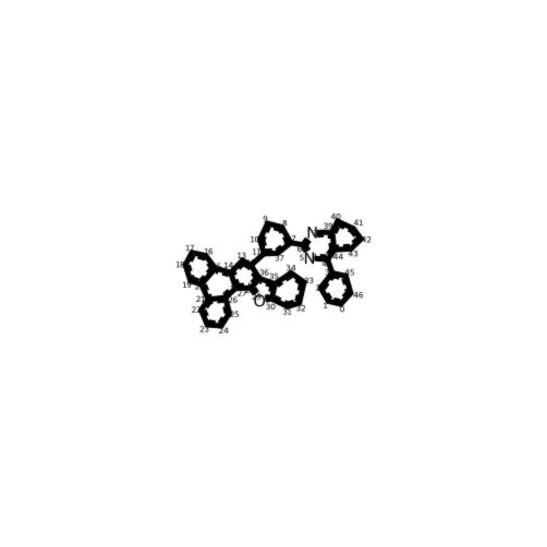 c1ccc(-c2nc(-c3cccc(-c4cc5c6ccccc6c6ccccc6c5c5oc6ccccc6c45)c3)nc3ccccc23)cc1